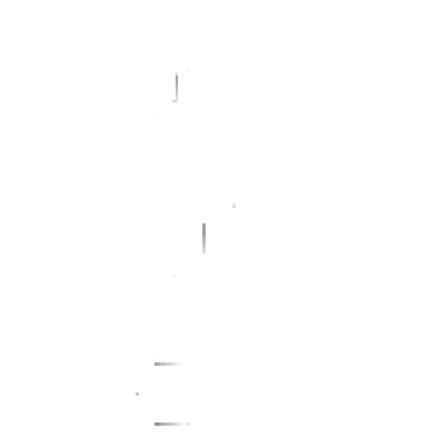 COC(=O)OCN(C(=O)OC)c1ccc(OCc2nc3ccccc3o2)cc1C